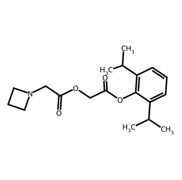 CC(C)c1cccc(C(C)C)c1OC(=O)COC(=O)CN1CCC1